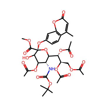 COC(=O)[C@]1(Oc2ccc3c(C)cc(=O)oc3c2)OC([C@H](OC(C)=O)[C@@H](COC(C)=O)OC(C)=O)[C@H](NC(=O)OC(C)(C)C)C(OC(C)=O)C1O